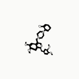 COc1ccc(Cc2ncc(CN3CCN(c4ccccc4Cl)CC3)c3cc(OC)c(OC)cc23)cc1OC